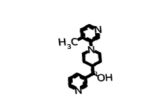 Cc1ccncc1N1CCC([C@H](O)c2cccnc2)CC1